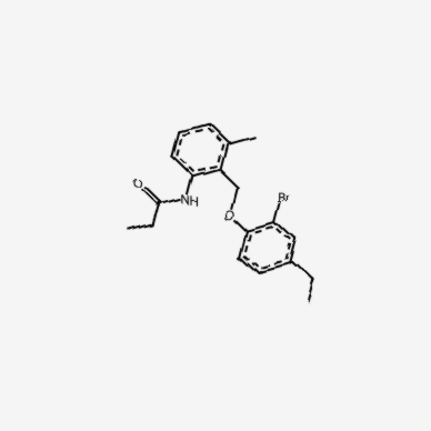 CCC(=O)Nc1cccc(C)c1COc1ccc(CC)cc1Br